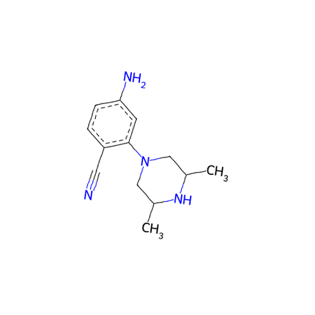 CC1CN(c2cc(N)ccc2C#N)CC(C)N1